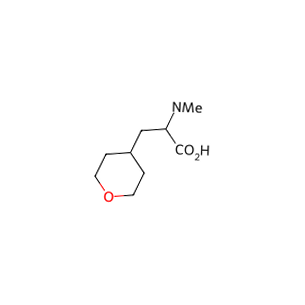 CNC(CC1CCOCC1)C(=O)O